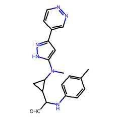 Cc1ccc(NC(C=O)C2CC2N(C)c2cc(-c3ccnnc3)n[nH]2)cc1